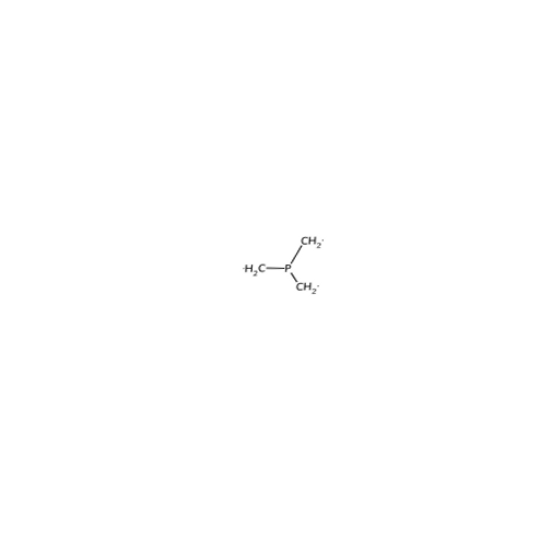 [CH2]P([CH2])[CH2]